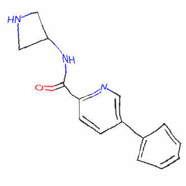 O=C(NC1CNC1)c1ccc(-c2ccccc2)cn1